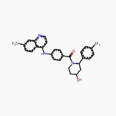 O=C(c1ccc(Nc2ccnc3cc(C(F)(F)F)ccc23)cc1)N1CCC(O)CC1c1ccc(C(F)(F)F)cc1